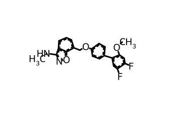 CNc1noc2c(COc3ccc(-c4cc(F)c(F)cc4OC)cc3)cccc12